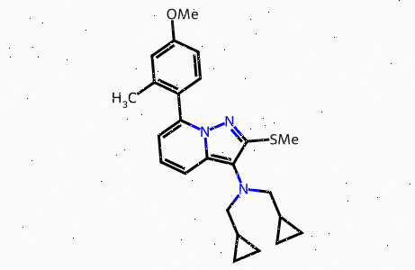 COc1ccc(-c2cccc3c(N(CC4CC4)CC4CC4)c(SC)nn23)c(C)c1